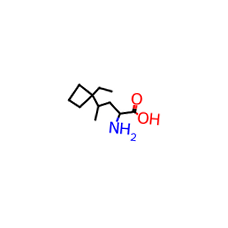 CCC1(C(C)CC(N)C(=O)O)CCC1